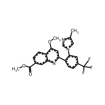 COC(=O)c1ccc2c(OC)cc(-c3ccc(C(F)(F)F)cc3-n3cnc(C)c3)nc2c1